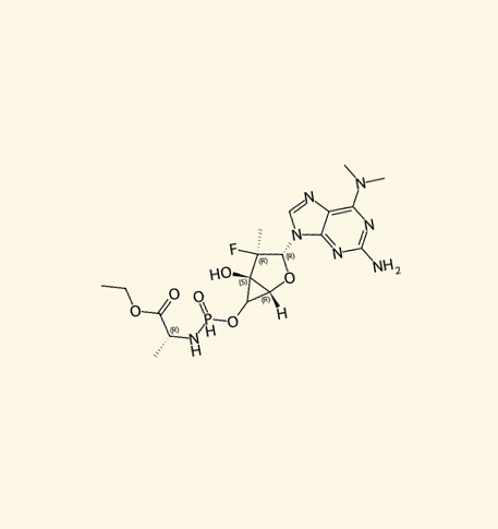 CCOC(=O)[C@@H](C)N[PH](=O)OC1[C@H]2O[C@@H](n3cnc4c(N(C)C)nc(N)nc43)[C@](C)(F)[C@@]12O